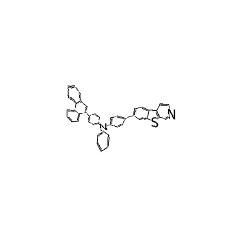 c1ccc(N(c2ccc(-c3ccc4c(c3)sc3cnccc34)cc2)c2ccc(-c3cc4ccccc4c4ccccc34)cc2)cc1